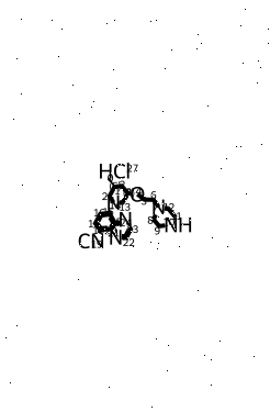 C[C@H]1C[C@@H](OCCN2CCNCC2)CN(c2ccc(C#N)c3nccnc23)C1.Cl